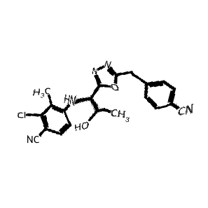 Cc1c(NC(c2nnc(Cc3ccc(C#N)cc3)o2)C(C)O)ccc(C#N)c1Cl